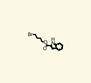 O=C(OCCCCBr)c1cc2ccccc2[nH]1